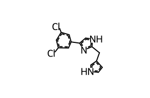 Clc1cc(Cl)cc(-c2c[nH]c(Cc3cc[nH]c3)n2)c1